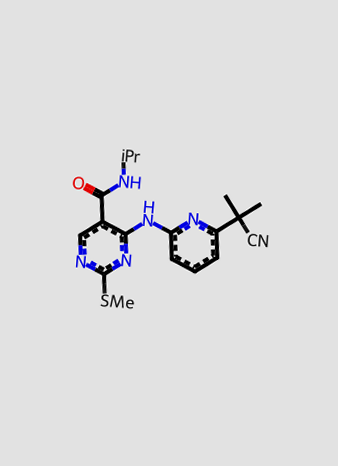 CSc1ncc(C(=O)NC(C)C)c(Nc2cccc(C(C)(C)C#N)n2)n1